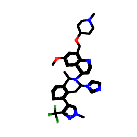 COc1cc(COC2CCN(C)CC2)c2nccc(N3C(C)c4cccc(-c5cn(C)nc5C(F)(F)F)c4CC3n3ccnc3)c2c1